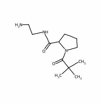 CC(C)(C)C(=O)N1CCCC1C(=O)NCCN